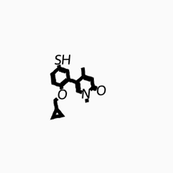 Cc1cc(=O)n(C)cc1-c1cc(S)ccc1OCC1CC1